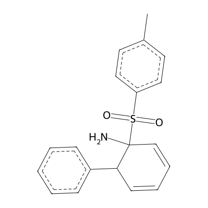 Cc1ccc(S(=O)(=O)C2(N)C=CC=CC2c2ccccc2)cc1